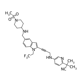 CC(C)(C#N)c1ccc(NCC#Cc2cc3cc(CNC4CCN(S(C)(=O)=O)CC4)ccc3n2CC(F)(F)F)cn1